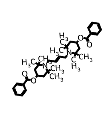 CC1(C)CC(OC(=O)c2ccccc2)CC(C)(C)N1CC=CCN1C(C)(C)CC(OC(=O)c2ccccc2)CC1(C)C